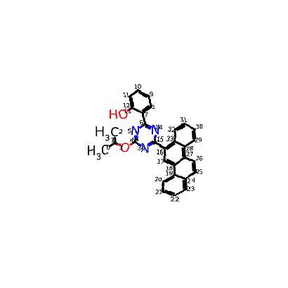 CC(C)Oc1nc(-c2ccccc2O)nc(-c2cc3c4ccccc4ccc3c3ccccc23)n1